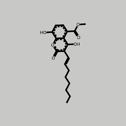 CCCCCCC=Cc1c(O)c2c(C(=O)OC)ccc(O)c2oc1=O